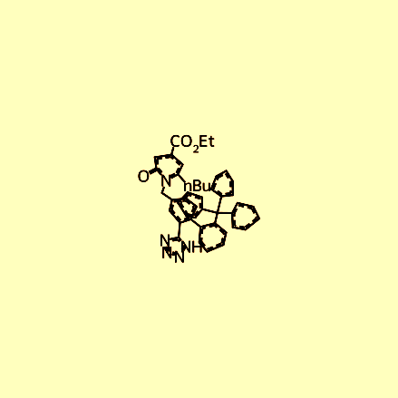 CCCCc1cc(C(=O)OCC)cc(=O)n1Cc1ccc(-c2ccccc2C(c2ccccc2)(c2ccccc2)c2ccccc2)c(-c2nnn[nH]2)c1